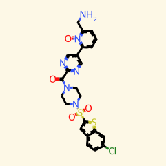 NCc1cccc(-c2cnc(C(=O)N3CCN(S(=O)(=O)c4cc5ccc(Cl)cc5s4)CC3)nc2)[n+]1[O-]